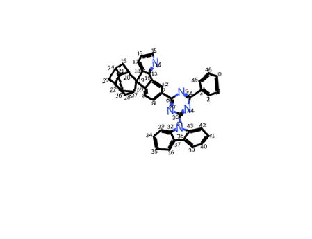 c1ccc(-c2nc(-c3ccc4c(c3)-c3ncccc3C43C4CC5CC(C4)CC3C5)nc(-n3c4ccccc4c4ccccc43)n2)cc1